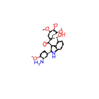 COc1ccc(-c2[nH]c3cccc(CO)c3c2C(=O)c2cc(OC)c(OC)c(OC)c2)cc1N